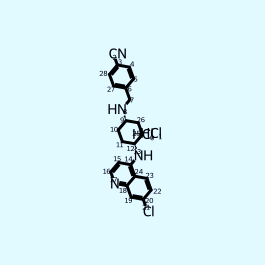 Cl.Cl.N#Cc1ccc(CN[C@H]2CC[C@@H](Nc3ccnc4cc(Cl)ccc34)CC2)cc1